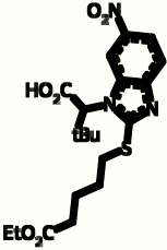 CCOC(=O)CCCCSc1nc2ccc([N+](=O)[O-])cc2n1C(C(=O)O)C(C)(C)C